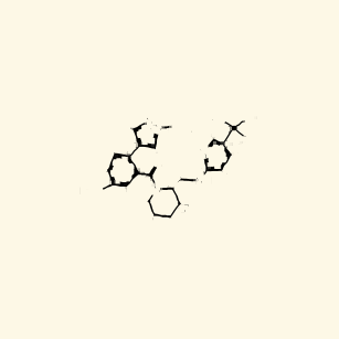 Cc1ccc(-c2cnn(C)c2)c(C(=O)N2CCC[C@@H](C)[C@@H]2CNc2ccc(C(F)(F)F)cn2)c1